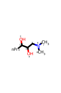 CCCC(O)C(O)CN(C)C